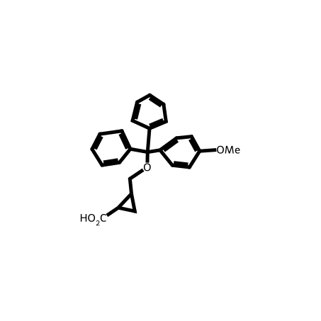 COc1ccc(C(OCC2CC2C(=O)O)(c2ccccc2)c2ccccc2)cc1